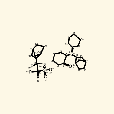 O=C1CCCCC1[S+](C1CCCCC1)C1CC2CCC1C2.O=S(=O)([O-])C(F)(F)C(F)(F)C1CC2CCC1C2